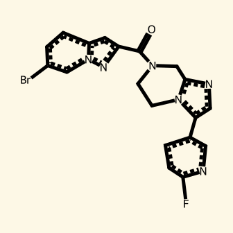 O=C(c1cc2ccc(Br)cn2n1)N1CCn2c(-c3ccc(F)nc3)cnc2C1